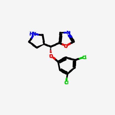 Clc1cc(Cl)cc(O[C@@H](c2cnco2)[C@H]2CCNC2)c1